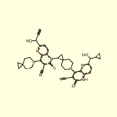 C#CC(O)c1ccc2c(n1)c(N1CCC3(CC1)CC3)c(C#N)c(=O)n2C1CC12CCN(c1c(C#N)c(=O)[nH]c3ccc(C(O)C4CC4)nc13)CC2